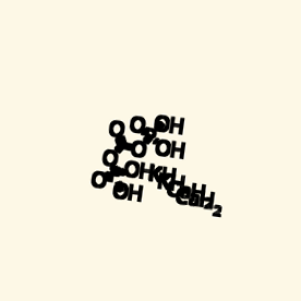 O=C(OP(=O)(O)O)OP(=O)(O)O.[CaH2].[CaH2].[KH].[KH]